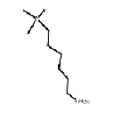 CCCCCCCCCCCC[P](C)(C)C